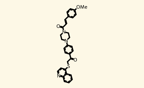 COc1ccc(/C=C/C(=O)N2CCN(c3ccc(C(=O)CSc4ccnc5ccccc45)cc3)CC2)cc1